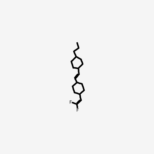 CCCC1CCC(/C=C/C2CCC(C=C(F)F)CC2)CC1